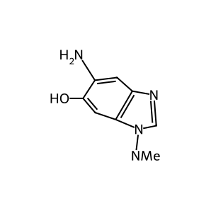 CNn1cnc2cc(N)c(O)cc21